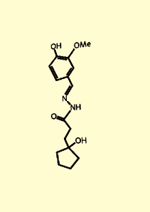 COc1cc(C=NNC(=O)CCC2(O)CCCC2)ccc1O